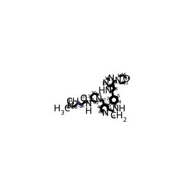 C=C(Nc1ccc(-c2cc3c(N4CCOCC4)ncnc3[nH]2)cc1)c1cc(CN2CCCC(NC(=O)/C=C/CN(C)C)C2)ccn1